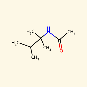 CC(=O)NC(C)(C)C(C)C